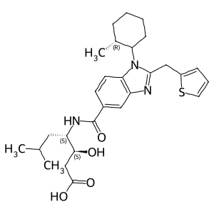 CC(C)C[C@H](NC(=O)c1ccc2c(c1)nc(Cc1cccs1)n2C1CCCC[C@H]1C)[C@@H](O)CC(=O)O